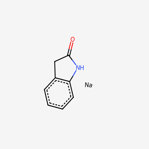 O=C1Cc2ccccc2N1.[Na]